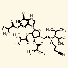 CC(C)C(=O)Nc1nc2c(c(=O)[nH]1)NCN2[C@@H]1O[C@H](COP(OCCC#N)N(C(C)C)C(C)C)[C@@H](OC(=O)C(C)C)[C@H]1OC(=O)C(C)C